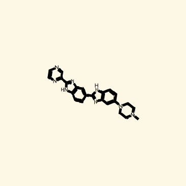 CN1CCN(c2ccc3[nH]c(-c4ccc5[nH]c(-c6cnccn6)nc5c4)nc3c2)CC1